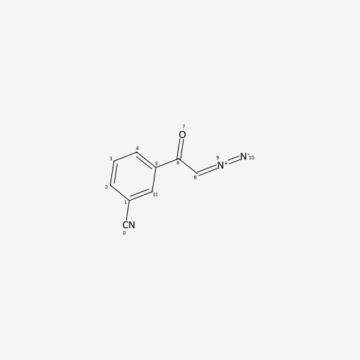 N#Cc1cccc(C(=O)C=[N+]=[N-])c1